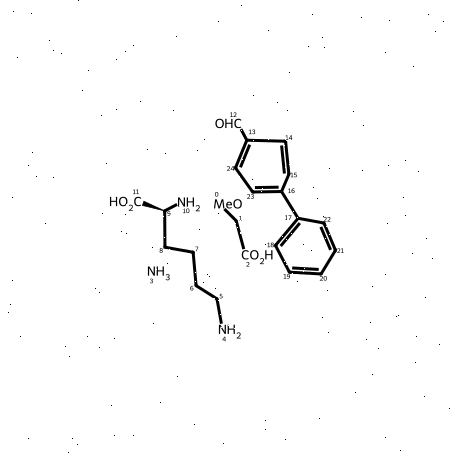 COCC(=O)O.N.NCCCC[C@H](N)C(=O)O.O=Cc1ccc(-c2ccccc2)cc1